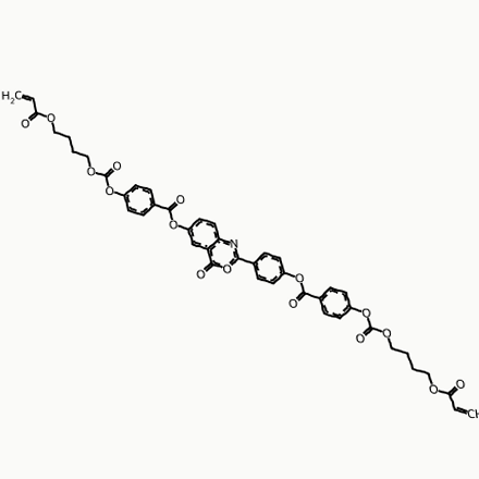 C=CC(=O)OCCCCOC(=O)Oc1ccc(C(=O)Oc2ccc(-c3nc4ccc(OC(=O)c5ccc(OC(=O)OCCCCOC(=O)C=C)cc5)cc4c(=O)o3)cc2)cc1